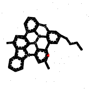 CCCCc1cc(CCCC)c2c(c1)Sc1cccc(CCCC)c1N2B1c2ccccc2-n2c3ccccc3c3cccc1c32